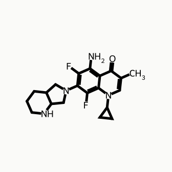 Cc1cn(C2CC2)c2c(F)c(N3CC4CCCNC4C3)c(F)c(N)c2c1=O